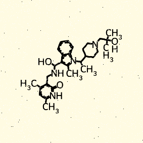 Cc1cc(C)c(CNC(O)c2c(C)n(C(C)C3CCN(CC(C)(C)O)CC3)c3ccccc23)c(=O)[nH]1